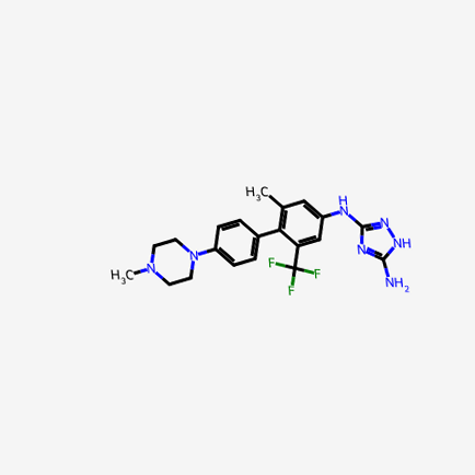 Cc1cc(Nc2n[nH]c(N)n2)cc(C(F)(F)F)c1-c1ccc(N2CCN(C)CC2)cc1